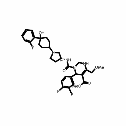 COCC1=C(C(=O)OC)C(c2ccc(F)c(F)c2)N(C(=O)N[C@@H]2CCN(C3CCC(O)(c4ccccc4F)CC3)C2)CN1